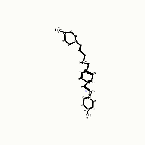 CN1CCN(CCCNCc2ccc(/C=N/N3CCN(C)CC3)cc2)CC1